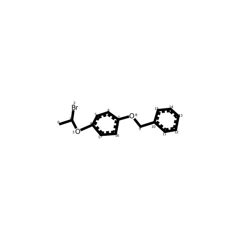 CC(Br)Oc1ccc(OCc2ccccc2)cc1